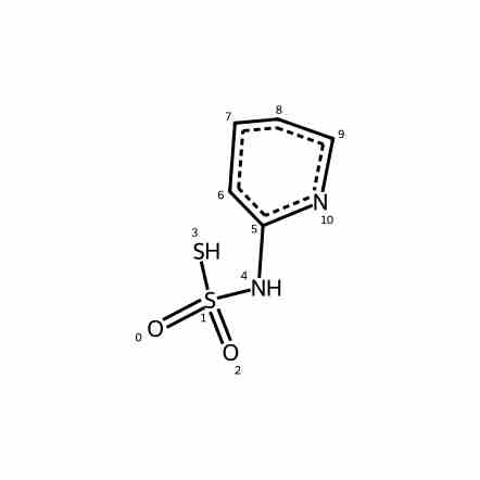 O=S(=O)(S)Nc1ccccn1